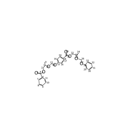 CC(COC(=O)c1ccccc1)OCOc1ccc(C(=O)OCC(C)OCOc2ccccc2)cc1